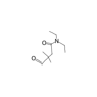 CCN(CC)C(=O)CC(C)(C)[C]=O